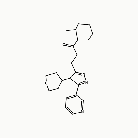 CC1CCCCC1C(=O)CCC1=NN=C(c2cccnc2)C1C1CCCCC1